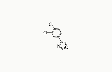 Clc1ccc(-c2cocn2)cc1Cl